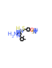 Cc1cccc(-c2cc(NCCc3ccc(OSN(C)N(C)C)cc3)nc(N)n2)c1C.S